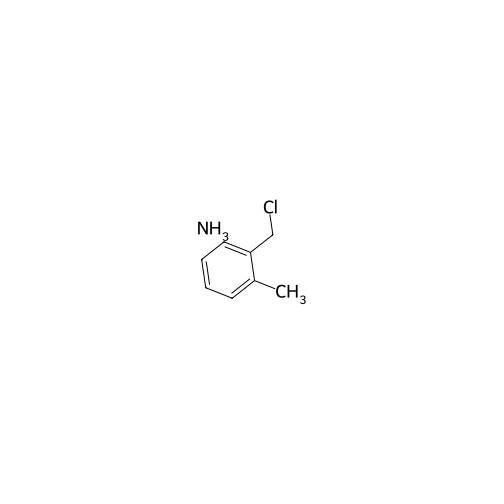 Cc1ccccc1CCl.N